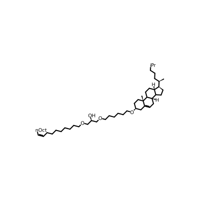 CCCCCCCC/C=C\CCCCCCCCOC[C@@H](O)COCCCCCCO[C@H]1CC[C@@]2(C)C(=CC[C@H]3C4CC[C@H]([C@H](C)CCCC(C)C)[C@H]4CCC32)C1